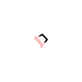 B1=BCC1